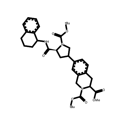 COC(=O)C1Cc2ccc(C3C[C@@H](C(=O)NC4CCCc5ccccc54)N(C(=O)OC(C)(C)C)C3)cc2CN1C(=O)OC(C)(C)C